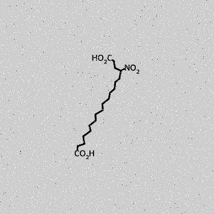 O=C(O)CCCCCCCCCCCCCCC(CCC(=O)O)[N+](=O)[O-]